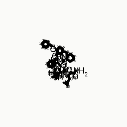 CC(C)(C)[C@H](NC(=O)NC1(Cc2ccc(OCc3ccccc3)c(OCc3ccccc3)c2)CCCCC1)C(=O)N1C[C@H]2[C@@H]([C@H]1C(=O)NC(CC1CC1)C(=O)C(N)=O)C2(C)C